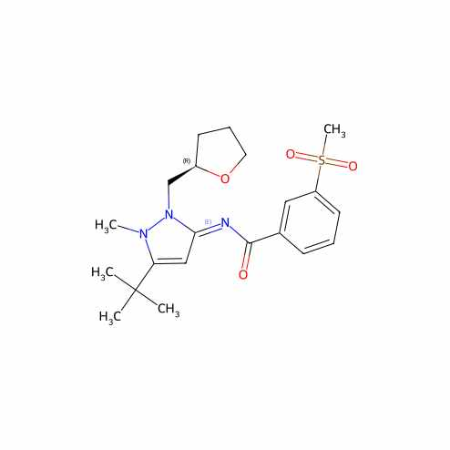 Cn1c(C(C)(C)C)c/c(=N\C(=O)c2cccc(S(C)(=O)=O)c2)n1C[C@H]1CCCO1